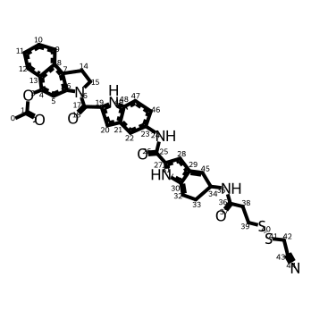 CC(=O)Oc1cc2c(c3ccccc13)CCN2C(=O)c1cc2cc(NC(=O)c3cc4c([nH]3)=CCC(NC(=O)CCSSCC#N)C=4)ccc2[nH]1